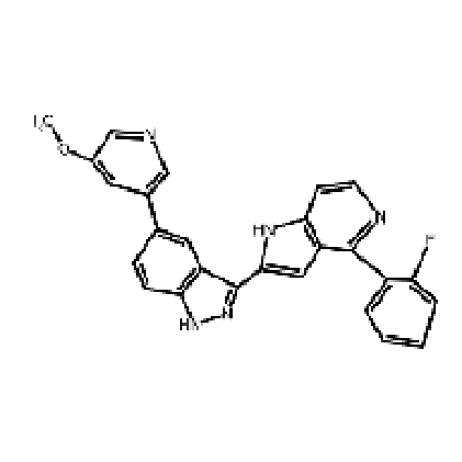 COc1cncc(-c2ccc3[nH]nc(-c4cc5c(-c6ccccc6F)nccc5[nH]4)c3c2)c1